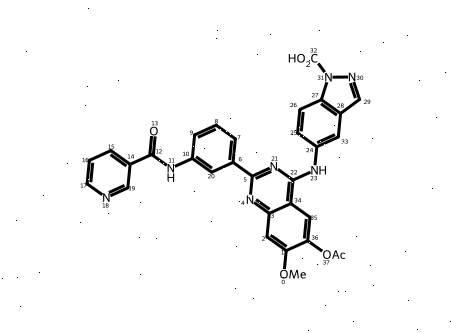 COc1cc2nc(-c3cccc(NC(=O)c4cccnc4)c3)nc(Nc3ccc4c(cnn4C(=O)O)c3)c2cc1OC(C)=O